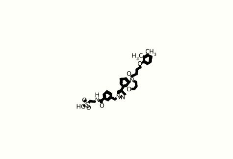 Cc1cccc(OCCCC(=O)N2CCCOc3c(-c4cnn(Cc5cccc(C(=O)NCCS(=O)(=O)O)c5)c4)cccc32)c1C